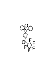 Fc1c(F)c(F)c(C2OC2c2ccc(N3c4ccccc4Oc4ccccc43)cc2)c(F)c1F